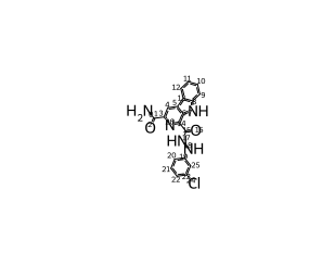 NC(=O)c1cc2c([nH]c3ccccc32)c(C(=O)NNc2cccc(Cl)c2)n1